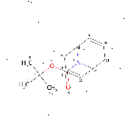 CC(C)(C)OC(=O)N1C2C=CCC1C=CC2